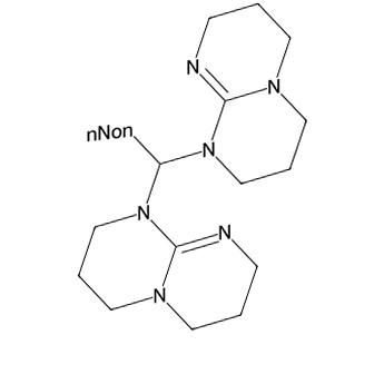 CCCCCCCCCC(N1CCCN2CCCN=C21)N1CCCN2CCCN=C21